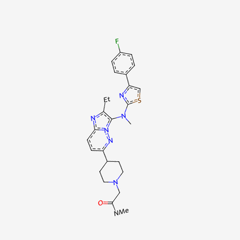 CCc1nc2ccc(C3CCN(CC(=O)NC)CC3)nn2c1N(C)c1nc(-c2ccc(F)cc2)cs1